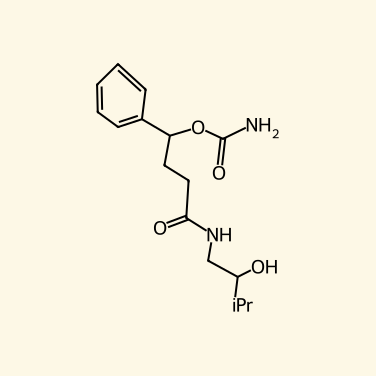 CC(C)C(O)CNC(=O)CCC(OC(N)=O)c1ccccc1